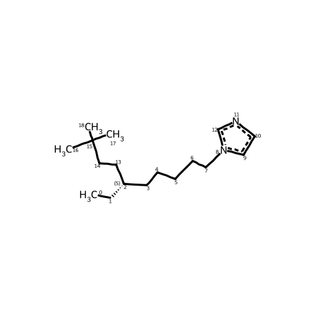 CC[C@@H](CCCCCn1ccnc1)CCC(C)(C)C